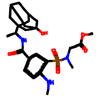 CNc1ccc(C(=O)NC(C)C23CC4CC(CC(O)(C4)C2)C3)cc1S(=O)(=O)N(C)CC(=O)OC